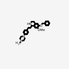 COc1cc2c(cc1OCc1ccccc1)CCNC2C=Cc1ccc(N2CCN(C)CC2)cc1